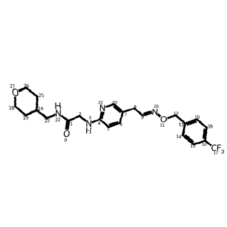 O=C(CNc1ccc(CC=NOCc2ccc(C(F)(F)F)cc2)cn1)NCC1CCOCC1